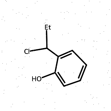 CCC(Cl)c1ccccc1O